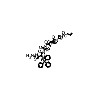 C=CCOC(=O)N1CC(N2CCC(=CC3=C(C(=O)O)N4C(=O)[C@@H](NC(=O)C(=NOC(c5ccccc5)(c5ccccc5)c5ccccc5)c5csc(N)n5)[C@H]4SC3)C2=O)C1